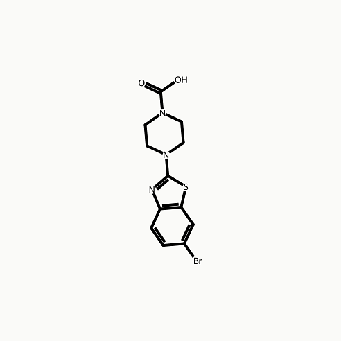 O=C(O)N1CCN(c2nc3ccc(Br)cc3s2)CC1